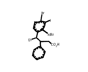 CCCCc1c(C(CC)C(CC(=O)O)c2ccccc2)ccc(Br)c1I